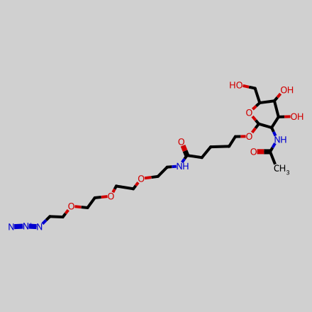 CC(=O)NC1C(OCCCCC(=O)NCCOCCOCCOCCN=[N+]=[N-])OC(CO)C(O)C1O